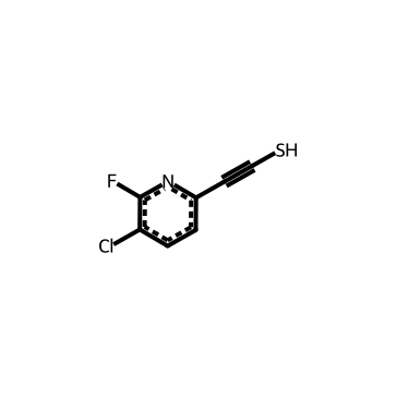 Fc1nc(C#CS)ccc1Cl